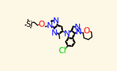 Cc1nc2c(cc1-n1c3cc(Cl)ccc3c3c1cnn3C1CCCCO1)ncn2COCC[Si](C)(C)C